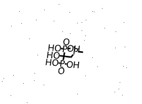 CP(C)CC(O)(P(=O)(O)O)P(=O)(O)O